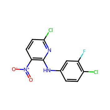 O=[N+]([O-])c1ccc(Cl)nc1Nc1ccc(Cl)c(F)c1